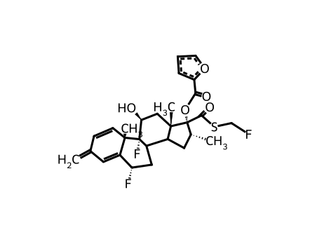 C=C1C=C[C@@]2(C)C(=C1)[C@@H](F)CC1C3C[C@@H](C)[C@](OC(=O)c4ccco4)(C(=O)SCF)[C@@]3(C)C[C@H](O)[C@@]12F